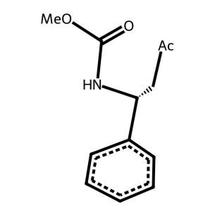 COC(=O)N[C@H](CC(C)=O)c1ccccc1